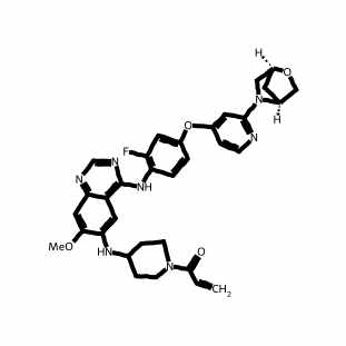 C=CC(=O)N1CCC(Nc2cc3c(Nc4ccc(Oc5ccnc(N6C[C@@H]7C[C@H]6CO7)c5)cc4F)ncnc3cc2OC)CC1